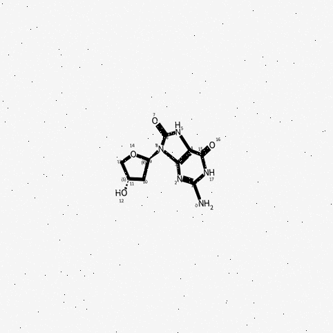 Nc1nc2c([nH]c(=O)n2[C@H]2C[C@H](O)CO2)c(=O)[nH]1